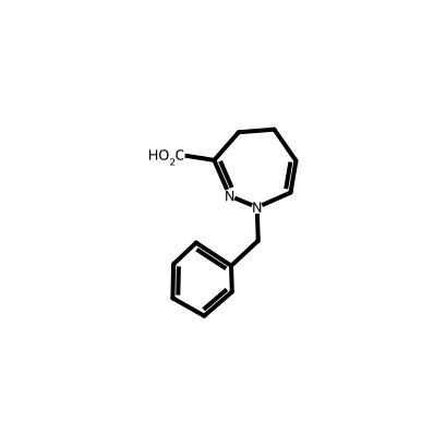 O=C(O)C1=NN(Cc2ccccc2)C=CCC1